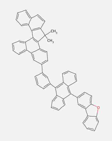 CC1(C)c2ccc3ccccc3c2-c2c1c1ccc(-c3cccc(-c4c5ccccc5c(-c5ccc6oc7ccccc7c6c5)c5ccccc45)c3)cc1c1ccccc21